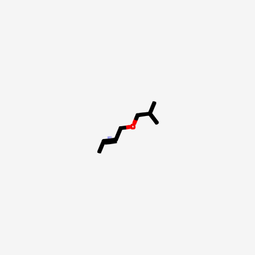 C/C=C/COCC(C)C